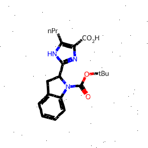 CCCc1[nH]c(C2Cc3ccccc3N2C(=O)OC(C)(C)C)nc1C(=O)O